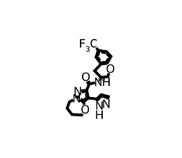 O=C(N[C@H]1COc2ccc(C(F)(F)F)cc2C1)c1nn2c(c1-c1ccn[nH]1)OCCCC2